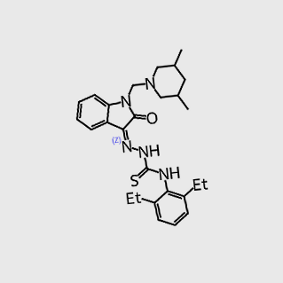 CCc1cccc(CC)c1NC(=S)N/N=C1\C(=O)N(CN2CC(C)CC(C)C2)c2ccccc21